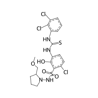 COCC1CCCN1NS(=O)(=O)c1c(Cl)ccc(NC(=S)Nc2cccc(Cl)c2Cl)c1O